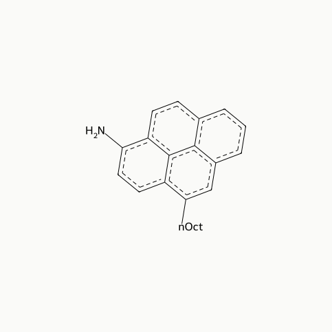 CCCCCCCCc1cc2cccc3ccc4c(N)ccc1c4c32